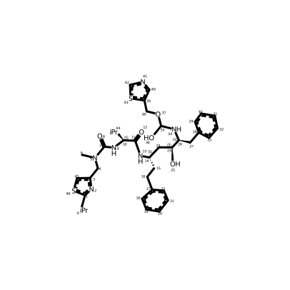 CC(C)c1nc(CN(C)C(=O)N[C@H](C(=O)N[C@@H](CCc2ccccc2)C[C@H](O)[C@H](Cc2ccccc2)NC(O)OCc2cncs2)C(C)C)cs1